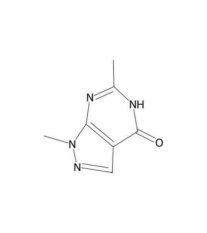 Cc1nc2c(cnn2C)c(=O)[nH]1